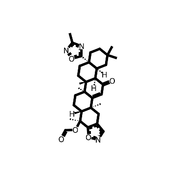 Cc1noc([C@]23CCC(C)(C)C[C@H]2[C@H]2C(=O)C=C4[C@@]5(C)Cc6cnoc6[C@@](C)(OC=O)[C@@H]5CC[C@@]4(C)[C@]2(C)CC3)n1